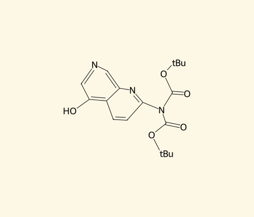 CC(C)(C)OC(=O)N(C(=O)OC(C)(C)C)c1ccc2c(O)cncc2n1